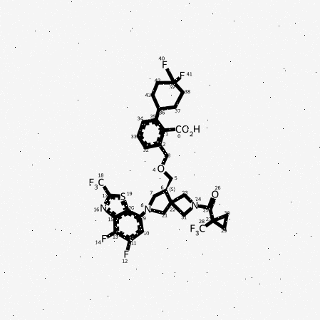 O=C(O)c1c(COC[C@@H]2CN(c3cc(F)c(F)c4nc(C(F)(F)F)sc34)CC23CN(C(=O)C2(C(F)(F)F)CC2)C3)cccc1C1CCC(F)(F)CC1